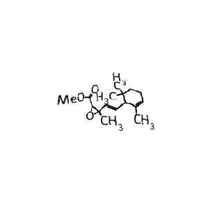 COC(=O)C1OC1(C)C=CC1C(C)=CCCC1(C)C